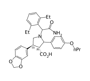 CCCOc1ccc(C2[C@H](C(=O)O)[C@@H](c3ccc4c(c3)OCO4)CN2C(C(N)=O)c2c(CC)cccc2CC)cc1